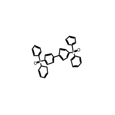 O=P(c1ccccc1)(c1ccccc1)c1ccc(-c2ccc(P(=O)(c3ccccc3)C3C=CC=CC3)cc2)cc1